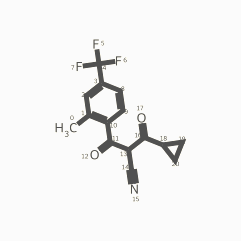 Cc1cc(C(F)(F)F)ccc1C(=O)C(C#N)C(=O)C1CC1